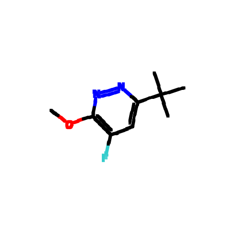 COc1nnc(C(C)(C)C)cc1F